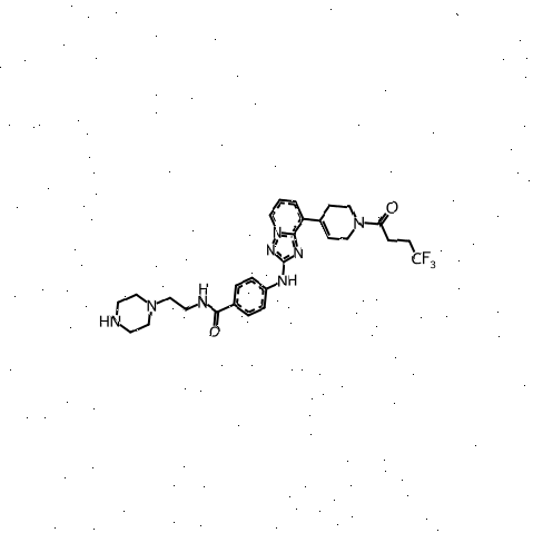 O=C(NCCN1CCNCC1)c1ccc(Nc2nc3c(C4=CCN(C(=O)CCC(F)(F)F)CC4)cccn3n2)cc1